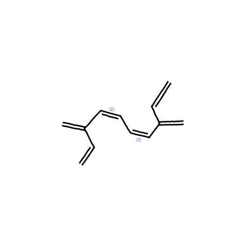 C=CC(=C)/C=C\C=C/C(=C)C=C